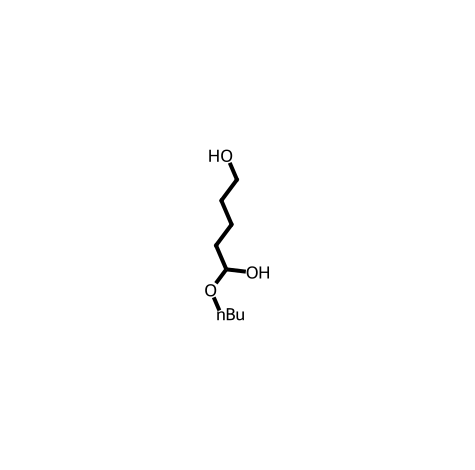 CCCCOC(O)CCCCO